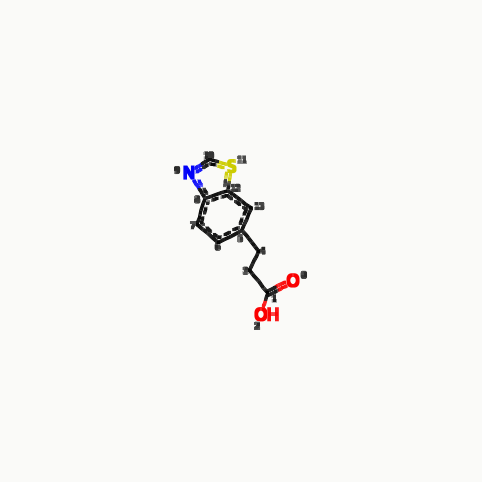 O=C(O)CCc1ccc2ncsc2c1